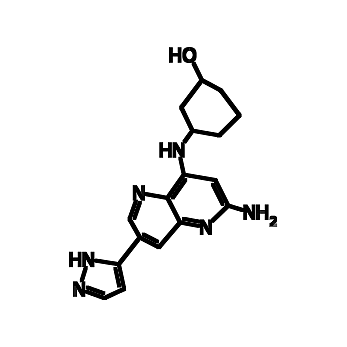 Nc1cc(NC2CCCC(O)C2)c2ncc(-c3ccn[nH]3)cc2n1